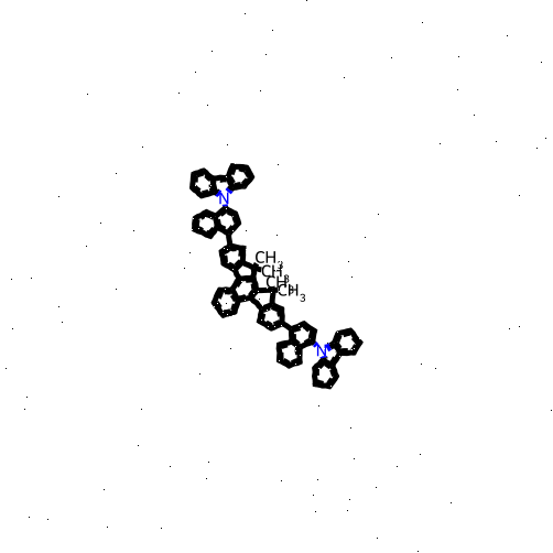 CC1(C)c2cc(-c3ccc(-n4c5ccccc5c5ccccc54)c4ccccc34)ccc2-c2c1c1c(c3ccccc23)-c2ccc(-c3ccc(-n4c5ccccc5c5ccccc54)c4ccccc34)cc2C1(C)C